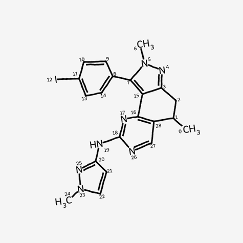 CC1Cc2nn(C)c(-c3ccc(I)cc3)c2-c2nc(Nc3ccn(C)n3)ncc21